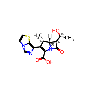 C[C@@H](O)[C@H]1C(=O)N2C(C(=O)O)=C(c3ncn4ccsc34)[C@H](C)[C@H]12